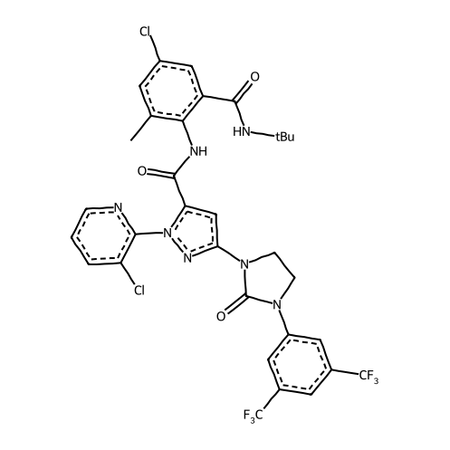 Cc1cc(Cl)cc(C(=O)NC(C)(C)C)c1NC(=O)c1cc(N2CCN(c3cc(C(F)(F)F)cc(C(F)(F)F)c3)C2=O)nn1-c1ncccc1Cl